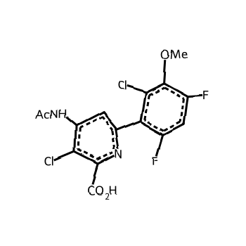 COc1c(F)cc(F)c(-c2cc(NC(C)=O)c(Cl)c(C(=O)O)n2)c1Cl